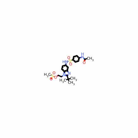 CC(=O)Nc1ccc(S(=O)(=O)Nc2ccc3c(c2)nc(C(C)(C)C)n3CCOS(C)(=O)=O)cc1